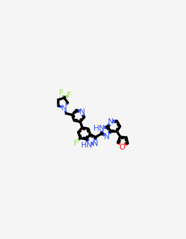 Fc1cc(-c2cncc(CN3CCC(F)(F)C3)c2)cc2c(-c3nc4c(-c5ccoc5)ccnc4[nH]3)n[nH]c12